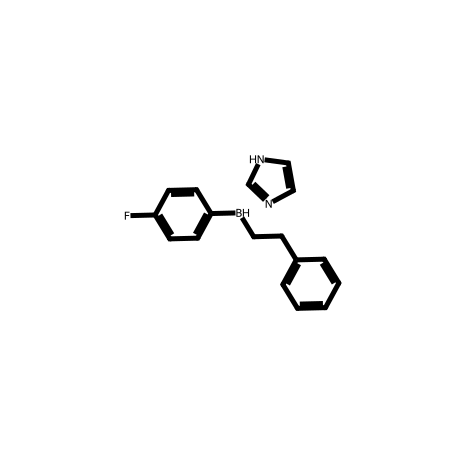 Fc1ccc(BCCc2ccccc2)cc1.c1c[nH]cn1